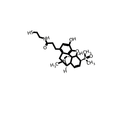 CN1CC[C@]23c4c5c(CCC(=O)NCCS)cc(O)c4O[C@H]2[C@@H](P(C)(C)=O)C=CC3[C@H]1C5